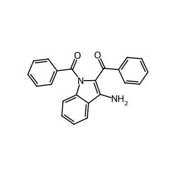 Nc1c(C(=O)c2ccccc2)n(C(=O)c2ccccc2)c2ccccc12